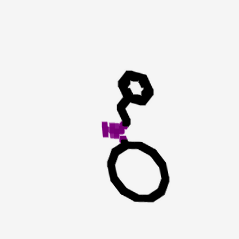 c1ccc(CCPC2CCCCCCCCCCC2)cc1